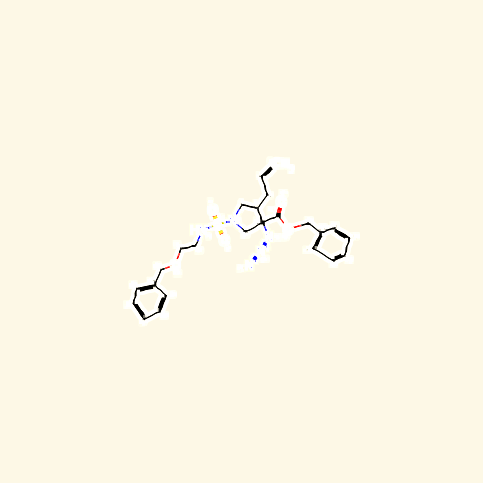 C=CCC1CN(S(=O)(=O)NCCOCc2ccccc2)CC1(N=[N+]=[N-])C(=O)OCc1ccccc1